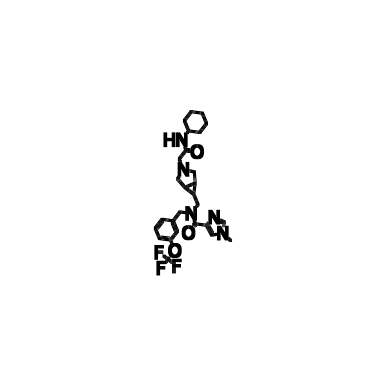 Cn1cnc(C(=O)N(Cc2cccc(OC(F)(F)F)c2)CC2C3CN(CC(=O)NC4CCCCC4)CC32)c1